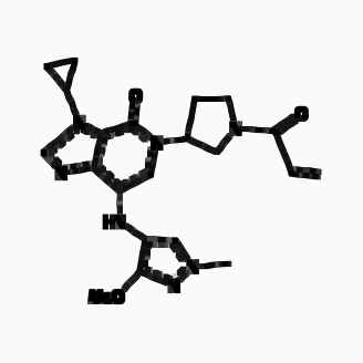 C=CC(=O)N1CCC(n2cc(Nc3cn(C)nc3OC)c3ncn(C4CC4)c3c2=O)C1